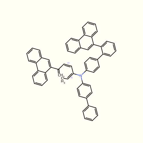 C=C(/C=C\C(=C/C)N(c1ccc(-c2ccccc2)cc1)c1ccc(-c2ccccc2-c2cc3ccccc3c3ccccc23)cc1)c1cc2ccccc2c2ccccc12